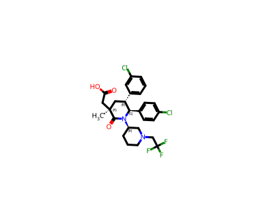 C[C@]1(CC(=O)O)C[C@H](c2cccc(Cl)c2)[C@@H](c2ccc(Cl)cc2)N([C@@H]2CCCN(CC(F)(F)F)C2)C1=O